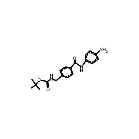 CC(C)(C)OC(=O)NCc1ccc(C(=O)Nc2ccc(N)cc2)cc1